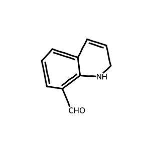 O=Cc1cccc2c1NCC=C2